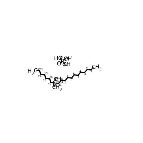 CCCCCCCCCCCC[N+](C)(C)CCCCCCC.O=P(O)(O)O